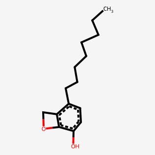 CCCCCCCCc1ccc(O)c2c1CO2